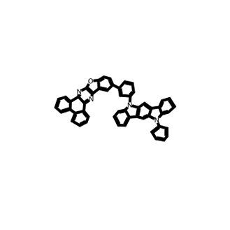 c1ccc(-n2c3ccccc3c3cc4c(cc32)c2ccccc2n4-c2cccc(-c3ccc4oc5nc6c7ccccc7c7ccccc7c6nc5c4c3)c2)cc1